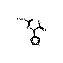 CCC(=O)[C@H](NC(=O)OC)c1ccsc1